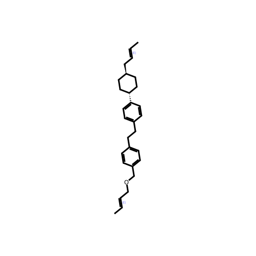 C/C=C/COCc1ccc(CCc2ccc([C@H]3CC[C@H](C/C=C/C)CC3)cc2)cc1